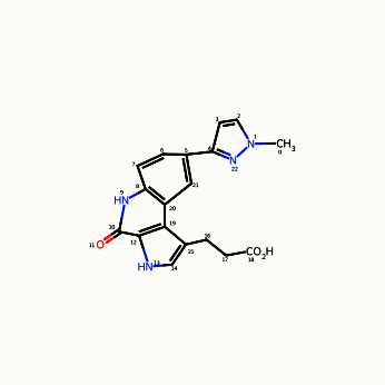 Cn1ccc(-c2ccc3[nH]c(=O)c4[nH]cc(CCC(=O)O)c4c3c2)n1